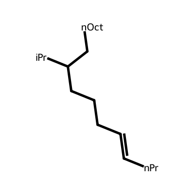 [CH2]CCC=CCCCC(CCCCCCCC[CH2])C(C)C